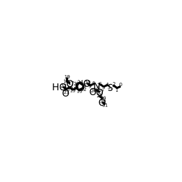 CCCSCCCN(CCOc1ccc(CC(OCC)C(=O)O)cc1)C(=O)OCCOC